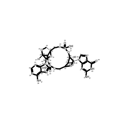 Nc1nc2c(ncn2[C@@H]2OC3CO[P@](=O)(S)O[C@H]4[C@H]5OC[C@]4(COP(=O)(O)O[C@@H]2[C@@H]3O)O[C@H]5n2cnc3c(N)ncnc32)c(=O)[nH]1